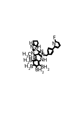 Bc1c(B)c(B)c(Nc2c3c(nn2Cc2ccc(-c4cccc(F)n4)cc2)N2C(=N[C@@H]4CCC[C@@H]42)N(C)C3=O)c(B)c1B